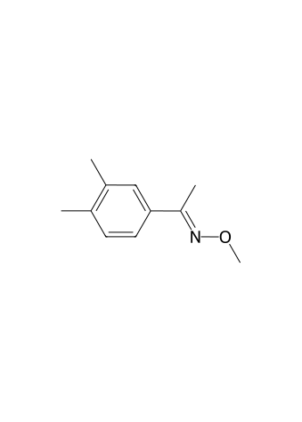 CO/N=C(\C)c1ccc(C)c(C)c1